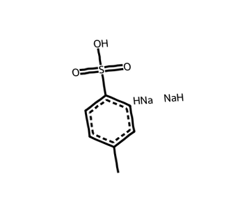 Cc1ccc(S(=O)(=O)O)cc1.[NaH].[NaH]